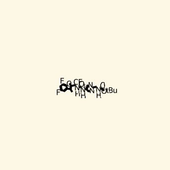 Cc1c([C@@H](NC(=O)Nc2cnc(CNC(=O)OC(C)(C)C)nc2)C(F)(F)F)oc2c(F)cc(F)cc12